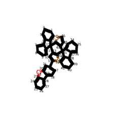 c1ccc2c(c1)-c1ccccc1C21c2cc(-c3ccc4c(c3)oc3ccccc34)sc2C2(c3ccccc3-c3ccccc32)c2ccsc21